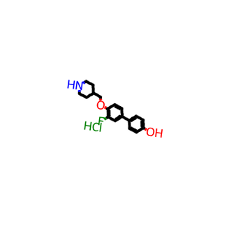 Cl.Oc1ccc(-c2ccc(OCC3CCNCC3)c(F)c2)cc1